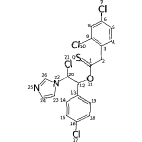 S=C(Cc1ccc(Cl)cc1Cl)OC(c1ccc(Cl)cc1)C(Cl)n1ccnc1